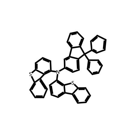 c1ccc(C2(c3ccccc3)c3ccccc3-c3cc(N(c4cccc5c4sc4ccccc45)c4cccc5sc6ccccc6c45)ccc32)cc1